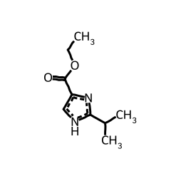 CCOC(=O)c1c[nH]c(C(C)C)n1